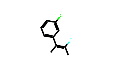 C/C(F)=C(\C)c1cccc(Cl)c1